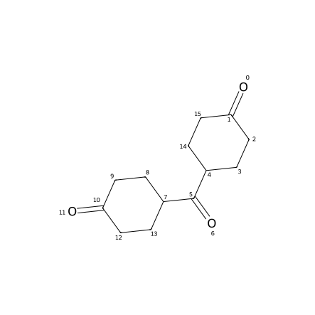 O=C1CCC(C(=O)C2CCC(=O)CC2)CC1